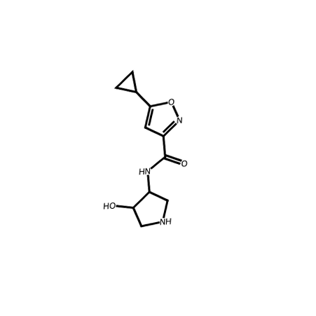 O=C(NC1CNCC1O)c1cc(C2CC2)on1